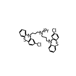 CC(C)N(CCCN1c2ccccc2Sc2ccc(Cl)cc21)CCCN1c2ccccc2Sc2ccc(Cl)cc21